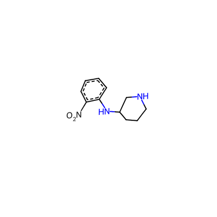 O=[N+]([O-])c1ccccc1NC1CCCNC1